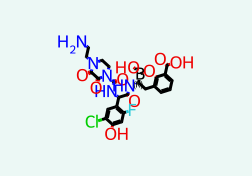 NCCN1CCN(C(=O)NC(C(=O)N[C@H]2Cc3cccc(C(=O)O)c3OB2O)c2cc(Cl)c(O)cc2F)C(=O)C1=O